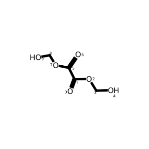 O=C(OCO)C(=O)OCO